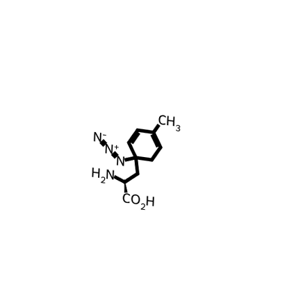 CC1=CCC(C[C@H](N)C(=O)O)(N=[N+]=[N-])C=C1